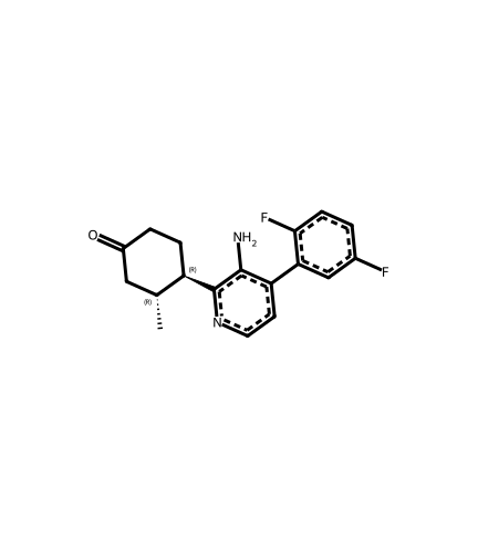 C[C@@H]1CC(=O)CC[C@H]1c1nccc(-c2cc(F)ccc2F)c1N